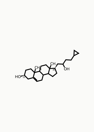 CC12CC[C@H](O)CC1=CCC1C2CCC2(C)C1CC[C@@H]2CC(O)CCC1CC1